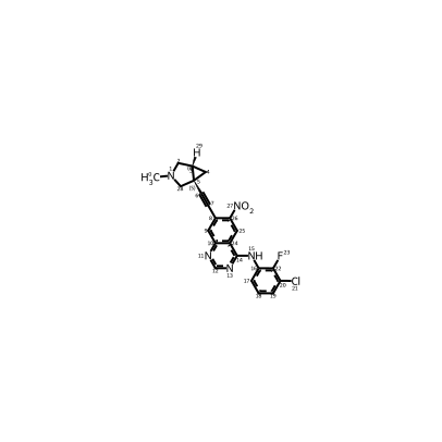 CN1C[C@@H]2C[C@]2(C#Cc2cc3ncnc(Nc4cccc(Cl)c4F)c3cc2[N+](=O)[O-])C1